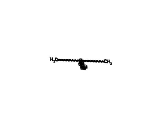 CCCCCCCCC=CCCCCCCCCOCCCCCCCCC=CCCCCCCCC.O=P([O-])([O-])[O-].[Na+].[Na+].[Na+]